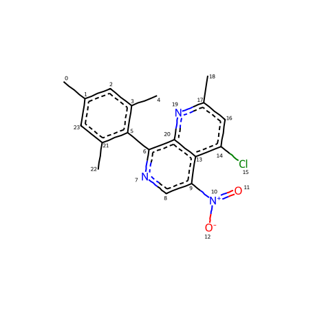 Cc1cc(C)c(-c2ncc([N+](=O)[O-])c3c(Cl)cc(C)nc23)c(C)c1